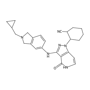 N#CC1CCCCC1n1nc(Nc2ccc3c(c2)CN(CC2CC2)C3)c2c(=O)[nH]ccc21